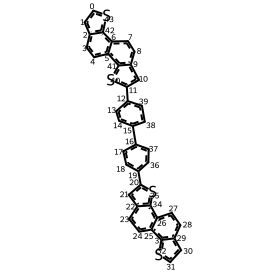 c1cc2ccc3c(ccc4cc(-c5ccc(-c6ccc(-c7cc8ccc9c(ccc%10ccsc%109)c8s7)cc6)cc5)sc43)c2s1